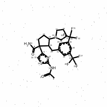 CC(=O)Nc1nc(C2(C(N)=O)CCC(N3CCCC3)C2Cc2cc(C(F)(F)F)cc(C(F)(F)F)c2)cs1